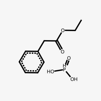 CCOC(=O)Cc1ccccc1.O=[PH](O)O